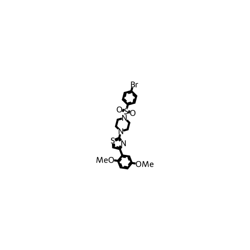 COc1ccc(OC)c(-c2csc(N3CCN(S(=O)(=O)c4ccc(Br)cc4)CC3)n2)c1